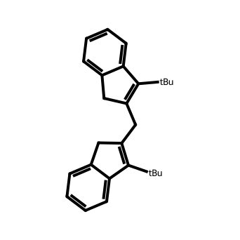 CC(C)(C)C1=C(CC2=C(C(C)(C)C)c3ccccc3C2)Cc2ccccc21